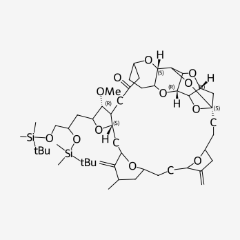 C=C1CC2CC[C@@]34C[C@H]5OC6C(O3)[C@H]3OC(CCC3O[C@H]6C5O4)CC(=O)CC3[C@@H](OC)C(CC(CO[Si](C)(C)C(C)(C)C)O[Si](C)(C)C(C)(C)C)O[C@H]3CC3OC(CCC1O2)CC(C)C3=C